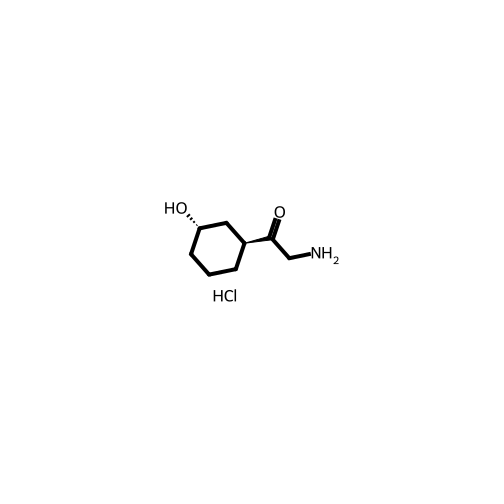 Cl.NCC(=O)[C@H]1CCC[C@H](O)C1